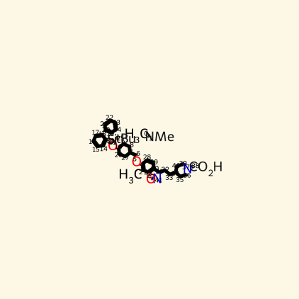 CNC.Cc1c(OCC2CCC(O[Si](c3ccccc3)(c3ccccc3)C(C)(C)C)CC2)ccc2c(CCC3CCN(C(=O)O)CC3)noc12